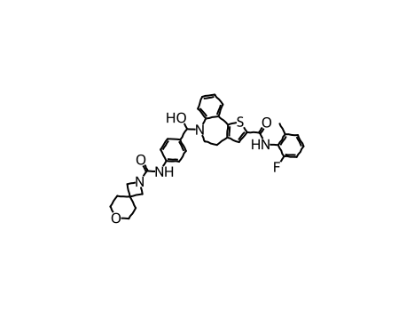 Cc1cccc(F)c1NC(=O)c1cc2c(s1)-c1ccccc1N(C(O)c1ccc(NC(=O)N3CC4(CCOCC4)C3)cc1)CC2